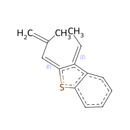 C=C(C)/C=c1/sc2ccccc2/c1=C/C